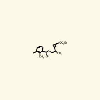 CCOC(=O)C1CC1C(C)CSC(C)c1cccc(F)c1C